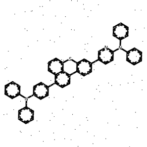 c1ccc(N(c2ccccc2)c2ccc(-c3ccc4c5c(cccc35)Sc3cc(-c5ccc(N(c6ccccc6)c6ccccc6)nc5)ccc3-4)cc2)cc1